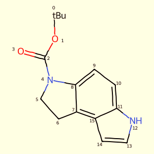 CC(C)(C)OC(=O)N1CCc2c1ccc1[nH]ccc21